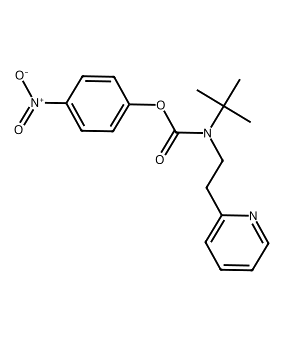 CC(C)(C)N(CCc1ccccn1)C(=O)Oc1ccc([N+](=O)[O-])cc1